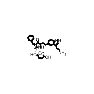 NCCc1c[nH]c2ccc(CCC3NC(=O)N(Cc4ccccc4)C3=O)cc12.O=C(O)/C=C\C(=O)O